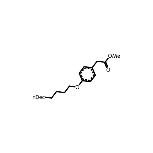 CCCCCCCCCCCCCCOc1ccc(CC(=O)OC)cc1